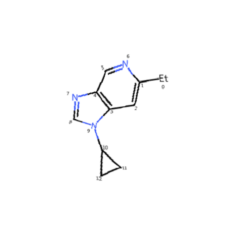 CCc1cc2c(cn1)ncn2C1CC1